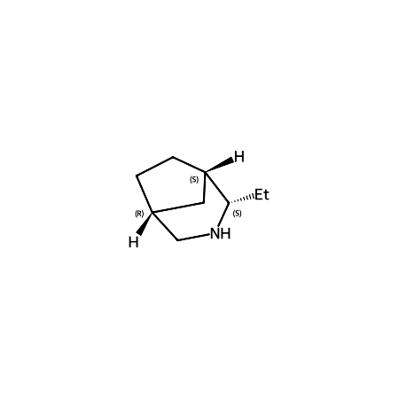 CC[C@@H]1NC[C@@H]2CC[C@H]1C2